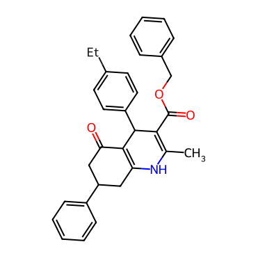 CCc1ccc(C2C(C(=O)OCc3ccccc3)=C(C)NC3=C2C(=O)CC(c2ccccc2)C3)cc1